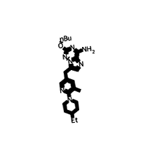 CCCCOc1nc(N)c2ncc(Cc3cnc(N4CCC(CC)CC4)c(C)c3)n2n1